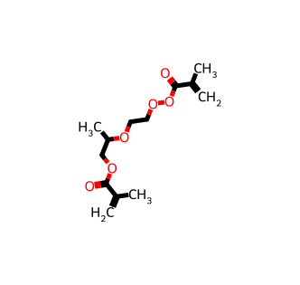 C=C(C)C(=O)OCC(C)OCCOOC(=O)C(=C)C